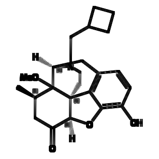 COC12[C@H](C)CC(=O)[C@@H]3Oc4c(O)ccc5c4[C@@]31CCN(CC1CCC1)[C@@H]2C5